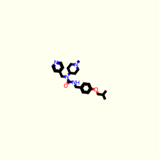 CC(C)COc1ccc(CNC(=O)N(Cc2ccncc2)C2CCN(C)CC2)cc1